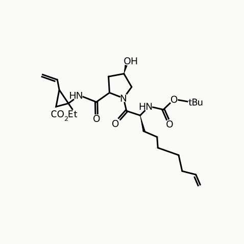 C=CCCCCC[C@H](NC(=O)OC(C)(C)C)C(=O)N1C[C@H](O)CC1C(=O)NC1(C(=O)OCC)CC1C=C